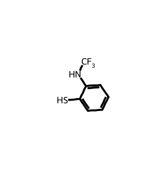 FC(F)(F)Nc1ccccc1S